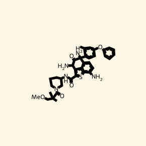 COCC(C)(C)C(=O)N1CCCC(NC(=O)c2sc3c(N)ccc4c3c2C(N)C(=O)C4(N)c2ccc(Oc3ccccc3)cc2C)C1